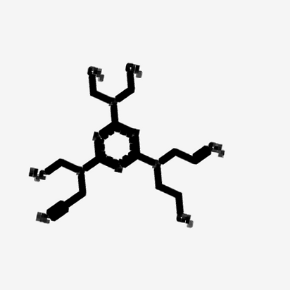 C#CCN(CC)c1nc(N(CC)CC)nc(N(CC=C)CCC)n1